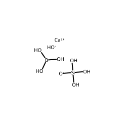 OB(O)O.[Ca+2].[O-][Si](O)(O)O.[OH-]